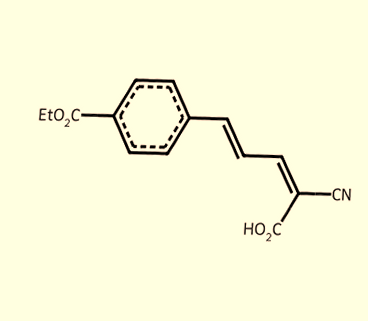 CCOC(=O)c1ccc(C=CC=C(C#N)C(=O)O)cc1